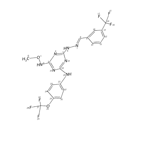 CONc1nc(N/N=C/c2cccc(C(F)(F)F)c2)nc(Nc2ccc(OC(F)(F)F)cc2)n1